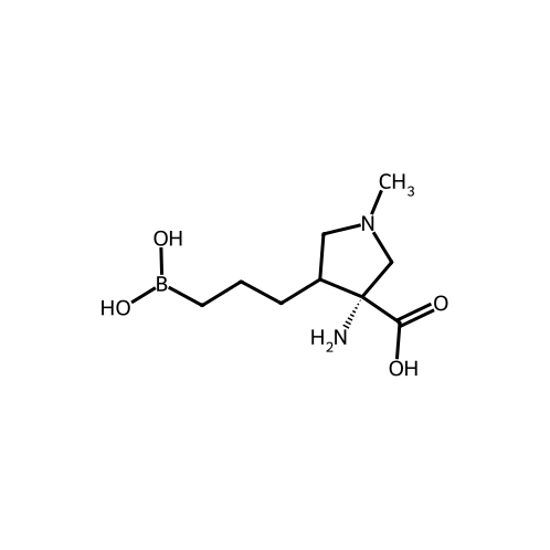 CN1CC(CCCB(O)O)[C@](N)(C(=O)O)C1